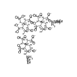 CCC(C(=O)[O-])[N+](CC(=O)[O-])(CC(=O)[O-])CC(=O)[O-].CCC(C(=O)[O-])[N+](CC(=O)[O-])(CC(=O)[O-])CC(=O)[O-].CCC(C(=O)[O-])[N+](CC(=O)[O-])(CC(=O)[O-])CC(=O)[O-].N.N.N.[Fe].[Fe].[Fe].[Fe]